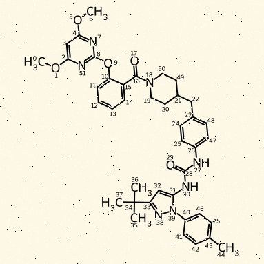 COc1cc(OC)nc(Oc2ccccc2C(=O)N2CCC(Cc3ccc(NC(=O)Nc4cc(C(C)(C)C)nn4-c4ccc(C)cc4)cc3)CC2)n1